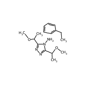 CCc1ccccc1.COC(C)c1nnc(C(C)OC)n1N